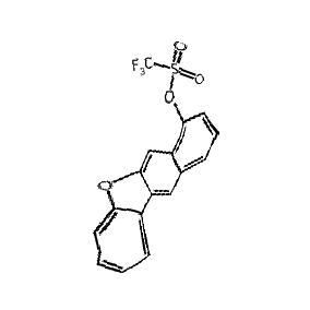 O=S(=O)(Oc1cccc2cc3c(cc12)oc1ccccc13)C(F)(F)F